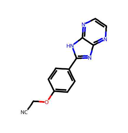 N#CCOc1ccc(-c2nc3nccnc3[nH]2)cc1